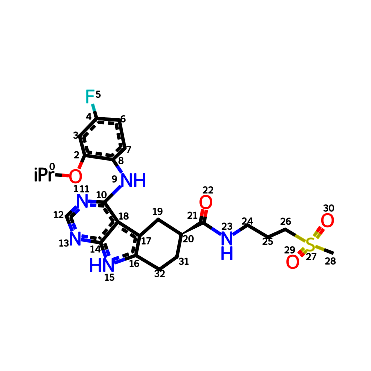 CC(C)Oc1cc(F)ccc1Nc1ncnc2[nH]c3c(c12)C[C@@H](C(=O)NCCCS(C)(=O)=O)CC3